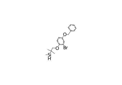 C[SiH](C)C(C)(C)COc1ccc(OCc2ccccc2)cc1Br